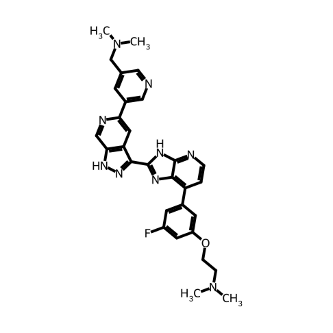 CN(C)CCOc1cc(F)cc(-c2ccnc3[nH]c(-c4n[nH]c5cnc(-c6cncc(CN(C)C)c6)cc45)nc23)c1